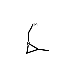 CCCCN1CC1C